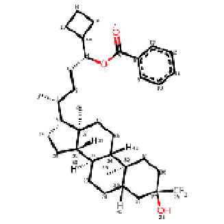 C[C@H](CC[C@@H](OC(=O)c1ccccc1)C1CCC1)[C@H]1CC[C@H]2[C@@H]3CC[C@H]4C[C@](O)(C(F)(F)F)CC[C@]4(C)[C@H]3CC[C@]12C